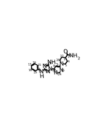 NC(=O)C1CCN(c2cc(-n3nc(Nc4ccccc4)nc3N)ncn2)CC1